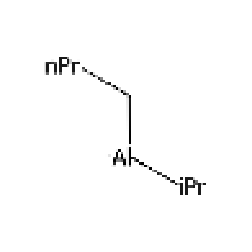 CCC[CH2][Al][CH](C)C